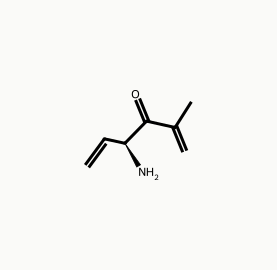 C=C[C@H](N)C(=O)C(=C)C